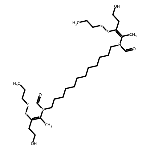 CCCSSC(CCO)=C(C)N(C=O)CCCCCCCCCCCCN(C=O)C(C)=C(CCO)SSCCC